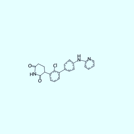 O=C1CCC(c2cccc(-c3ccc(Nc4ccccn4)cc3)c2Cl)C(=O)N1